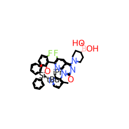 Cc1ccnc(C(C)C)c1-n1c(=O)nc(N2CCC(B(O)O)CC2)c2cc(F)c(-c3c(F)cccc3O[Si](c3ccccc3)(c3ccccc3)C(C)(C)C)nc21